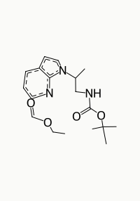 CC(CNC(=O)OC(C)(C)C)n1ccc2cccnc21.CCOC=O